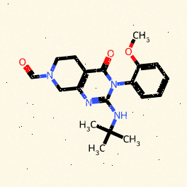 COc1ccccc1-n1c(NC(C)(C)C)nc2c(c1=O)CCN(C=O)C2